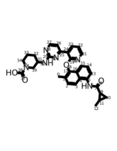 Cc1ccc2c(NC(=O)C3CC3C)cccc2c1Oc1ncccc1-c1ccnc(NC2CCCN(C(=O)O)C2)n1